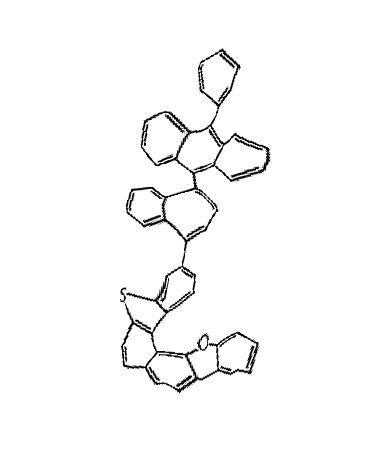 c1ccc(-c2c3ccccc3c(-c3ccc(-c4ccc5c(c4)sc4ccc6ccc7c8ccccc8oc7c6c45)c4ccccc34)c3ccccc23)cc1